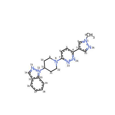 Cn1cc(-c2ccc(N3CCC(n4ncc5ccccc54)CC3)nn2)cn1